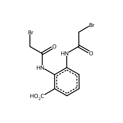 O=C(CBr)Nc1cccc(C(=O)O)c1NC(=O)CBr